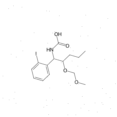 CCCC(OCOC)C(NC(=O)O)c1ccccc1I